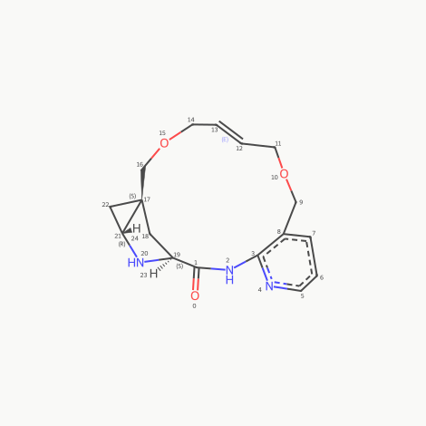 O=C1Nc2ncccc2COC/C=C/COC[C@@]23C[C@@H]1N[C@@H]2C3